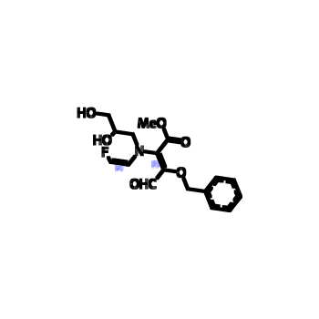 COC(=O)/C(=C(/C=O)OCc1ccccc1)N(/C=C\F)CC(O)CO